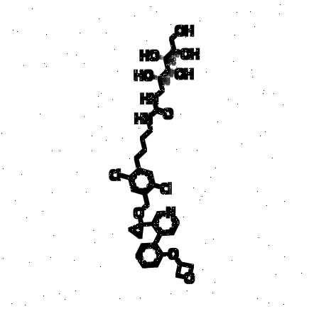 O=C(NCCCCc1cc(Cl)c(COC2(c3cnccc3-c3ccccc3OC3COC3)CC2)cc1Cl)NC[C@H](O)[C@@H](O)[C@H](O)[C@H](O)CO